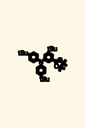 CC(C)(C)c1ccc(N(c2ccc(C(C)(C)C)cc2)c2cc(B3OC(C)(C)C(C)(C)O3)cc(C(C)(C)C)c2)cc1